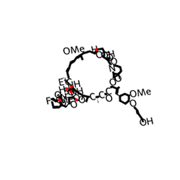 C/C=C\C(=O)C[C@@H]1O[C@@H](O[C@@H]2C(C)C[C@@H](C)CC(=O)CC(/C(C)=C/[C@@H]3CC[C@@H](OC/C=C/CO)[C@H](OC)C3)OC(=O)[C@@H]3CCCCN3C(=O)C(=O)[C@]3(O)O[C@@H](CC[C@H]3C)C[C@H](OC)/C(C)=C/C=C/C=C/[C@@H](C)C[C@@H](C)C(=O)[C@@H]2OC)[C@H](NC(=S)NCC)[C@H]1NS(=O)(=O)/C=C/F